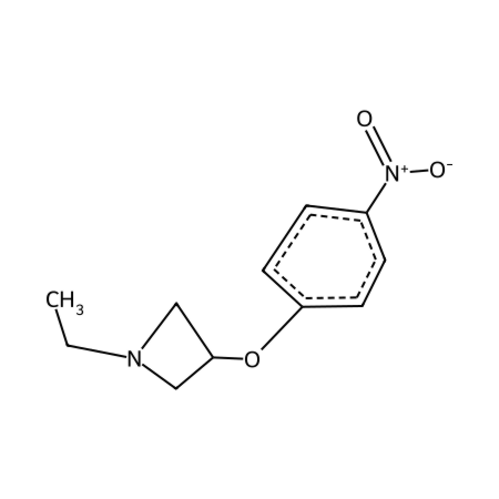 CCN1CC(Oc2ccc([N+](=O)[O-])cc2)C1